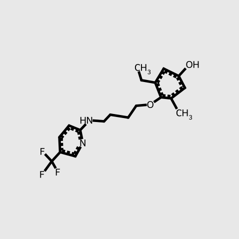 CCc1cc(O)cc(C)c1OCCCCNc1ccc(C(F)(F)F)cn1